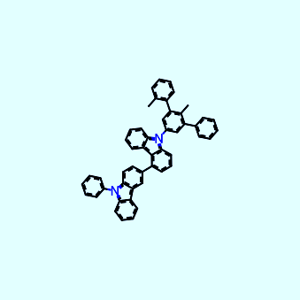 Cc1ccccc1-c1cc(-n2c3ccccc3c3c(-c4ccc5c(c4)c4ccccc4n5-c4ccccc4)cccc32)cc(-c2ccccc2)c1C